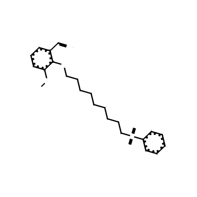 COc1cccc(C=O)c1OCCCCCCCCCS(=O)(=O)c1ccccc1